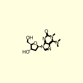 CN(C)c1c2ncn([C@H]3C[C@H](O)[C@@H](CO)O3)c2nc(=O)n1C